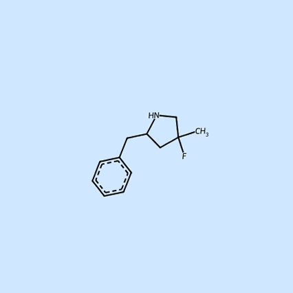 CC1(F)CNC(Cc2ccccc2)C1